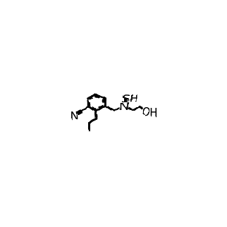 CCCc1c(C#N)cccc1CN(S)CCO